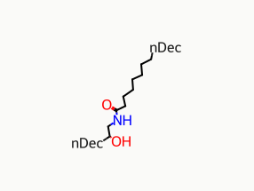 CCCCCCCCCCCCCCCCCC(=O)NCC(O)CCCCCCCCCC